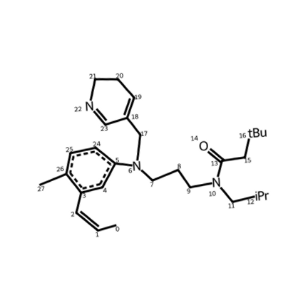 C/C=C\c1cc(N(CCCN(CC(C)C)C(=O)CC(C)(C)C)CC2=CCCN=C2)ccc1C